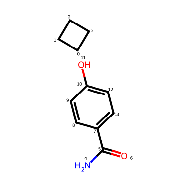 C1CCC1.NC(=O)c1ccc(O)cc1